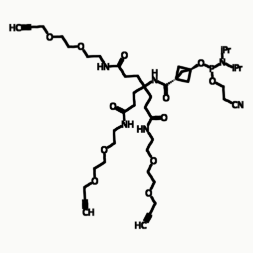 C#CCOCCOCCNC(=O)CCC(CCC(=O)NCCOCCOCC#C)(CCC(=O)NCCOCCOCC#C)NC(=O)[C@]12C[C@@](OP(OCCC#N)N(C(C)C)C(C)C)(C1)C2